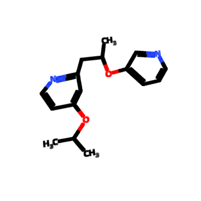 CC(C)Oc1ccnc(CC(C)Oc2cccnc2)c1